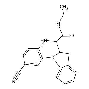 CCOC(=O)C1Nc2ccc(C#N)cc2C2c3ccccc3CC12